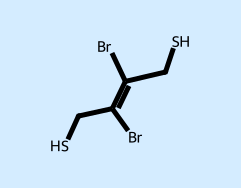 SC/C(Br)=C(\Br)CS